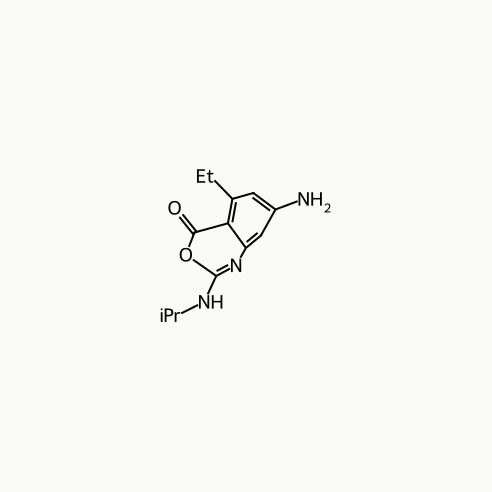 CCc1cc(N)cc2nc(NC(C)C)oc(=O)c12